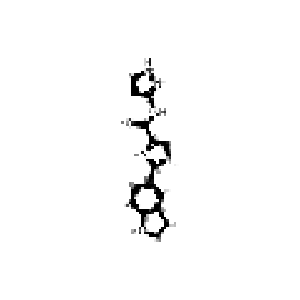 O=C(Nc1cc[nH]n1)c1csc(-c2ccc3c(c2)CCO3)n1